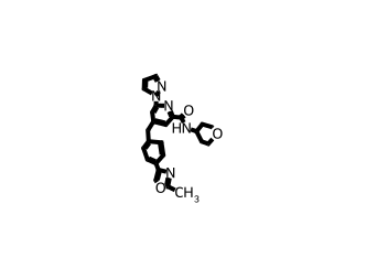 Cc1nc(-c2ccc(Cc3cc(C(=O)NC4CCOCC4)nc(-n4cccn4)c3)cc2)co1